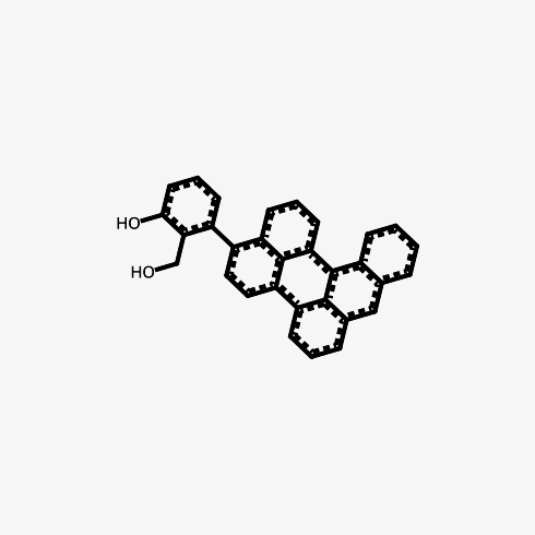 OCc1c(O)cccc1-c1ccc2c3cccc4cc5ccccc5c(c5cccc1c25)c43